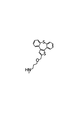 CNCCCOCc1cc2c(s1)-c1ccccc1Sc1ccccc1-2